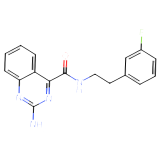 Nc1nc(C(=O)NCCc2cccc(F)c2)c2ccccc2n1